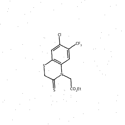 CCOC(=O)CN1C(=S)CSc2cc(Cl)c(C(F)(F)F)cc21